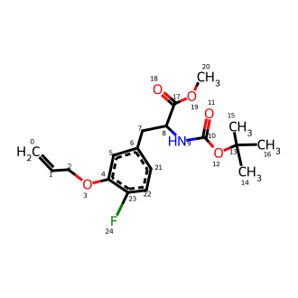 C=CCOc1cc(CC(NC(=O)OC(C)(C)C)C(=O)OC)ccc1F